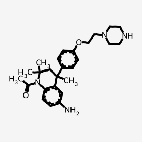 CC(=O)N1c2ccc(N)cc2C(C)(c2ccc(OCCN3CCNCC3)cc2)CC1(C)C